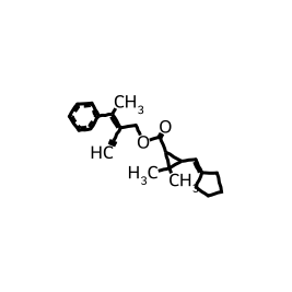 C#C/C(COC(=O)C1C(C=C2CCCC2)C1(C)C)=C(/C)c1ccccc1